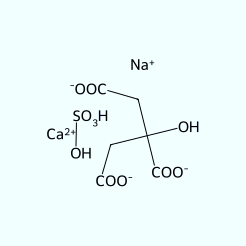 O=C([O-])CC(O)(CC(=O)[O-])C(=O)[O-].O=S(=O)(O)O.[Ca+2].[Na+]